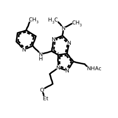 CCOCCn1nc(CNC(C)=O)c2nc(N(C)C)nc(Nc3cc(C)ccn3)c21